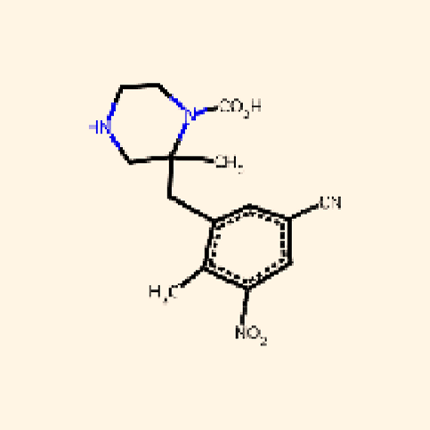 Cc1c(CC2(C)CNCCN2C(=O)O)cc(C#N)cc1[N+](=O)[O-]